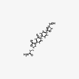 NC(=O)CC[C@H]1CN(c2ccc(-c3ccc(C4=N[C@@H](CO)CO4)cc3)c(F)c2)C(=O)O1